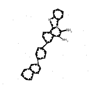 Nc1c(N)n2c3ccccc3nc2c2ccc(-c3ccc(-c4ccc5ccccc5c4)cc3)cc12